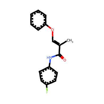 C/C(=C\Oc1ccccc1)C(=O)Nc1ccc(F)cc1